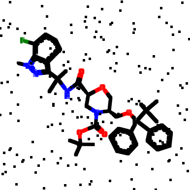 Cn1nc(C(C)(C)NC(=O)[C@@H]2CN(C(=O)OC(C)(C)C)[C@H](CO[Si](c3ccccc3)(c3ccccc3)C(C)(C)C)CO2)c2cccc(F)c21